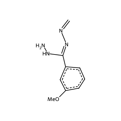 C=N/N=C(\NN)c1cccc(OC)c1